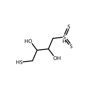 OC(CS)C(O)C[SH](=S)=S